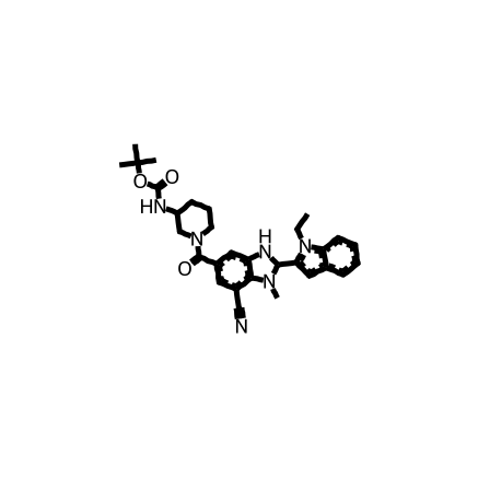 CCn1c(C2Nc3cc(C(=O)N4CCCC(NC(=O)OC(C)(C)C)C4)cc(C#N)c3N2C)cc2ccccc21